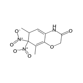 CC1=C2OCC(=O)NC2=CC(C)C1([N+](=O)[O-])[N+](=O)[O-]